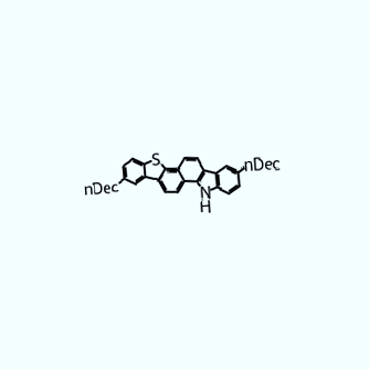 CCCCCCCCCCc1ccc2[nH]c3c(ccc4c3ccc3c5cc(CCCCCCCCCC)ccc5sc34)c2c1